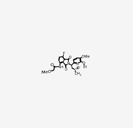 CCOc1nc(C(C[S+](C)[O-])N2C(=O)c3c(F)ccc(NC(=O)COC)c3C2=O)ccc1OC